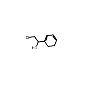 OC(CCl)C1=CC=CCC1